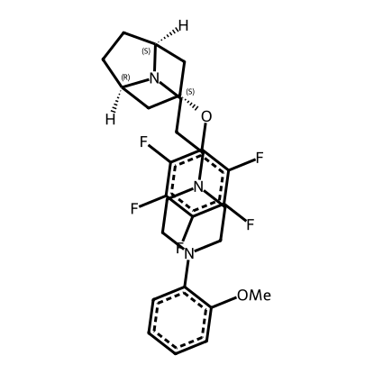 COc1ccccc1N1CCN(CCCN2[C@@H]3CC[C@H]2C[C@H](Oc2c(F)c(F)c(F)c(F)c2F)C3)CC1